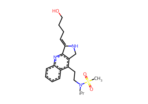 CC(C)N(CCc1c2c(nc3ccccc13)/C(=C/CCCO)NC2)S(C)(=O)=O